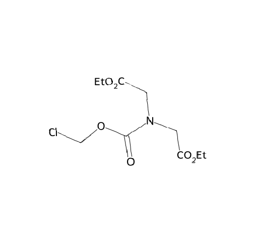 CCOC(=O)CN(CC(=O)OCC)C(=O)OCCl